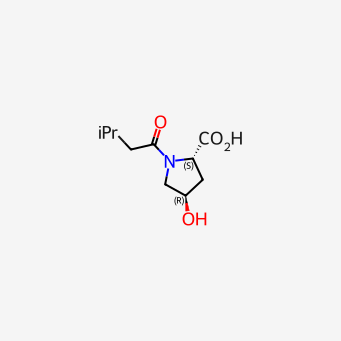 CC(C)CC(=O)N1C[C@H](O)C[C@H]1C(=O)O